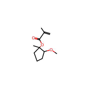 C=C(C)C(=O)OC1(C)CCCC1OC